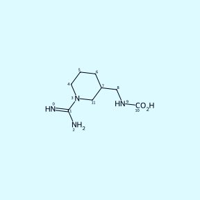 N=C(N)N1CCCC(CNC(=O)O)C1